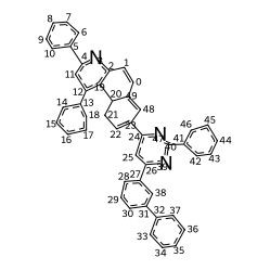 C1=Cc2nc(-c3ccccc3)cc(-c3ccccc3)c2C2CC=C(c3cc(-c4cccc(-c5ccccc5)c4)nc(-c4ccccc4)n3)C=C12